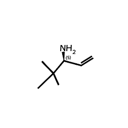 C=C[C@H](N)C(C)(C)C